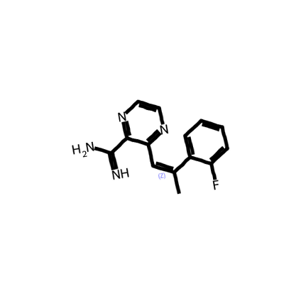 C/C(=C/c1nccnc1C(=N)N)c1ccccc1F